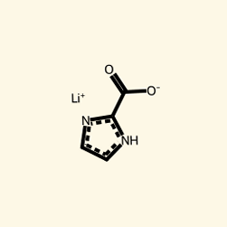 O=C([O-])c1ncc[nH]1.[Li+]